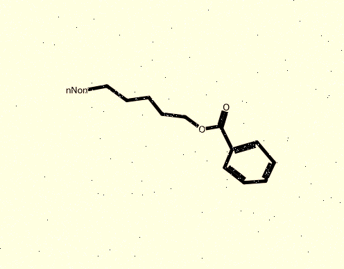 CCCCCCCCCCCCCCOC(=O)c1c[c]ccc1